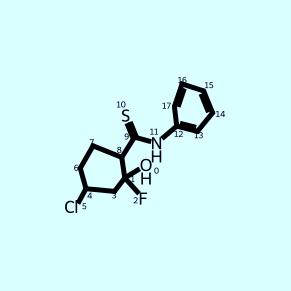 OC1(F)CC(Cl)CCC1C(=S)Nc1ccccc1